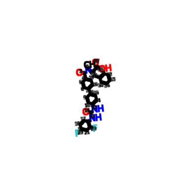 CN(C(=O)c1ccc(-c2ccc(NC(=O)Nc3ccc(F)cc3F)cc2)cc1)[C@@H](Cc1ccccc1)C(=O)O